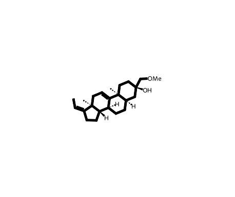 C/C=C1/CC[C@H]2[C@@H]3CC[C@@H]4C[C@@](O)(COC)CC[C@]4(C)C3=CC[C@]12C